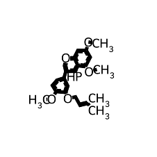 COc1cc(OC)c2c(=P)c(-c3ccc(OC)c(OCC=C(C)C)c3)coc2c1